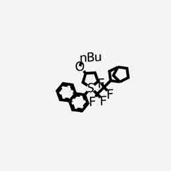 CCCCOC1CCS(c2cccc3ccccc23)(C(F)(F)C(F)(F)C2CC3CCC2C3)C1